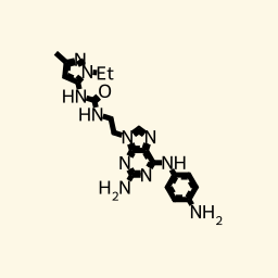 CCn1nc(C)cc1NC(=O)NCCn1cnc2c(Nc3ccc(N)cc3)nc(N)nc21